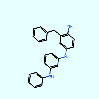 Nc1ccc(Nc2cccc(Nc3ccccc3)c2)cc1Cc1ccccc1